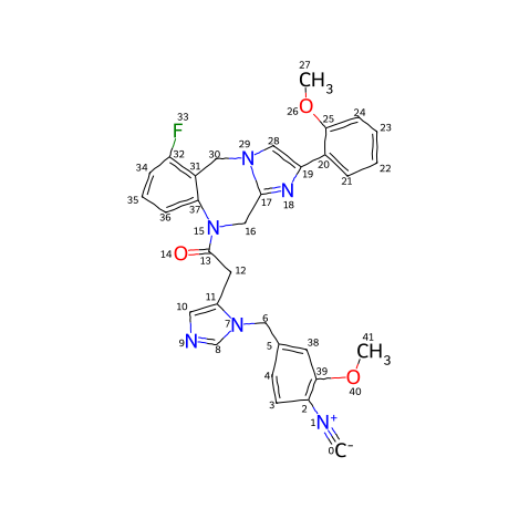 [C-]#[N+]c1ccc(Cn2cncc2CC(=O)N2Cc3nc(-c4ccccc4OC)cn3Cc3c(F)cccc32)cc1OC